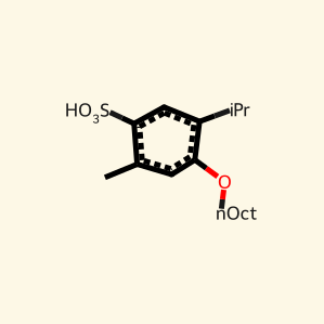 CCCCCCCCOc1cc(C)c(S(=O)(=O)O)cc1C(C)C